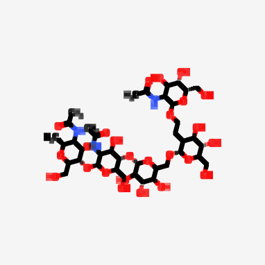 CC(=O)NC1C(O)[C@H](O)[C@H](CO)O[C@H]1OCCC1[C@@H](OCC2O[C@@H](O[C@@H]3C(CO)O[C@@H](O[C@@H]4C(CO)O[C@@H](C)C(NC(C)=O)[C@H]4O)C(NC(C)=O)[C@H]3O)C(O)[C@@H](O)[C@@H]2O)OC(CO)[C@@H](O)[C@@H]1O